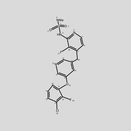 CNS(=O)(=O)Nc1nccc(Cc2cncc(Oc3cccc(Cl)c3F)c2)c1F